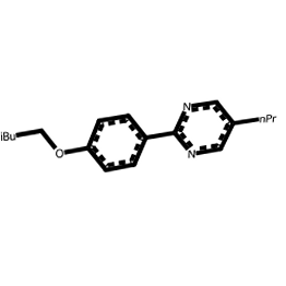 CCCc1cnc(-c2ccc(OCC(C)CC)cc2)nc1